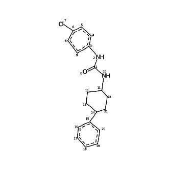 O=C(Nc1ccc(Cl)cc1)NC1CCC(c2ccccc2)CC1